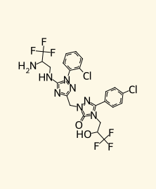 NC(CNc1nc(Cn2nc(-c3ccc(Cl)cc3)n(CC(O)C(F)(F)F)c2=O)nn1-c1ccccc1Cl)C(F)(F)F